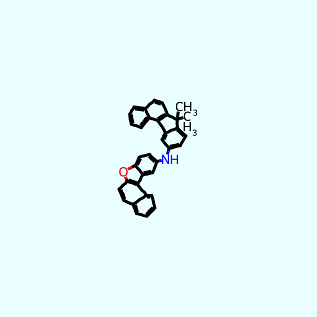 CC1(C)c2ccc(Nc3ccc4oc5ccc6ccccc6c5c4c3)cc2-c2c1ccc1ccccc21